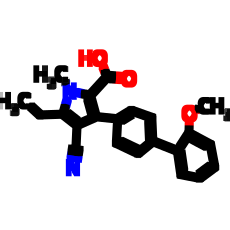 CCc1c(C#N)c(-c2ccc(-c3ccccc3OC)cc2)c(C(=O)O)n1C